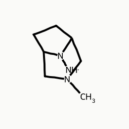 CN1CC2CCC(C1)N2[NH]